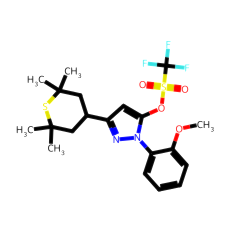 COc1ccccc1-n1nc(C2CC(C)(C)SC(C)(C)C2)cc1OS(=O)(=O)C(F)(F)F